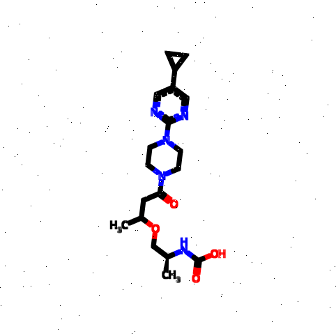 CC(CC(=O)N1CCN(c2ncc(C3CC3)cn2)CC1)OC[C@H](C)NC(=O)O